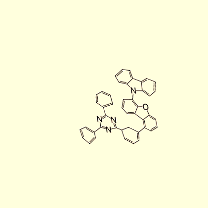 C1=CC(c2nc(-c3ccccc3)nc(-c3ccccc3)n2)CC(c2cccc3oc4c(-n5c6ccccc6c6ccccc65)cccc4c23)=C1